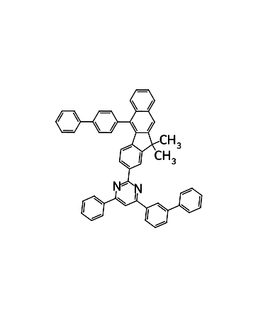 CC1(C)c2cc(-c3nc(-c4ccccc4)cc(-c4cccc(-c5ccccc5)c4)n3)ccc2-c2c1cc1ccccc1c2-c1ccc(-c2ccccc2)cc1